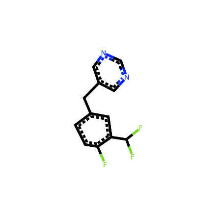 Fc1ccc([CH]c2cncnc2)cc1C(F)F